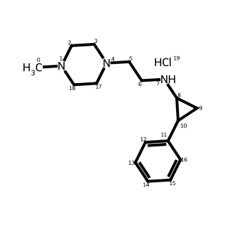 CN1CCN(CCNC2CC2c2ccccc2)CC1.Cl